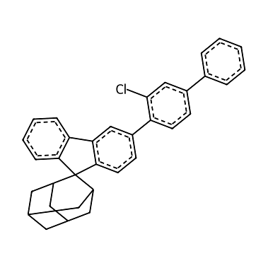 Clc1cc(-c2ccccc2)ccc1-c1ccc2c(c1)-c1ccccc1C21C2CC3CC(C2)CC1C3